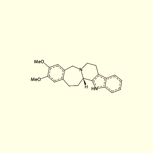 COc1cc2c(cc1OC)CN1CCc3c([nH]c4ccccc34)[C@@H]1CC2